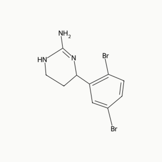 NC1=NC(c2cc(Br)ccc2Br)CCN1